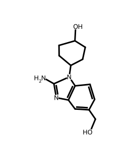 Nc1nc2cc(CO)ccc2n1C1CCC(O)CC1